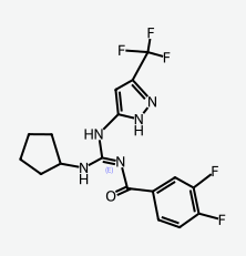 O=C(/N=C(/Nc1cc(C(F)(F)F)n[nH]1)NC1CCCC1)c1ccc(F)c(F)c1